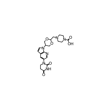 O=C1CCN(c2cnc3c(ccn3C3COC(CN4CCN(C(=O)O)CC4)OC3)c2)C(=O)N1